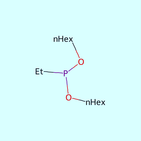 CCCCCCOP(CC)OCCCCCC